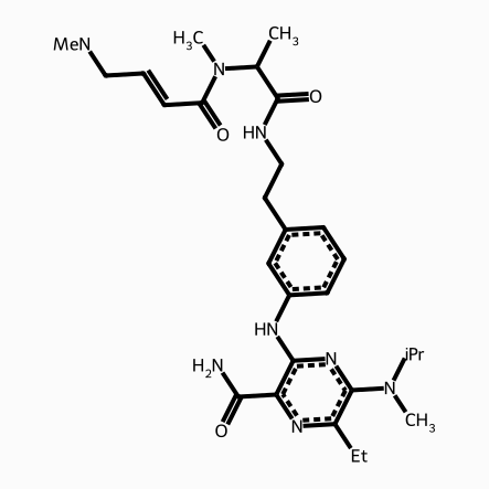 CCc1nc(C(N)=O)c(Nc2cccc(CCNC(=O)C(C)N(C)C(=O)/C=C/CNC)c2)nc1N(C)C(C)C